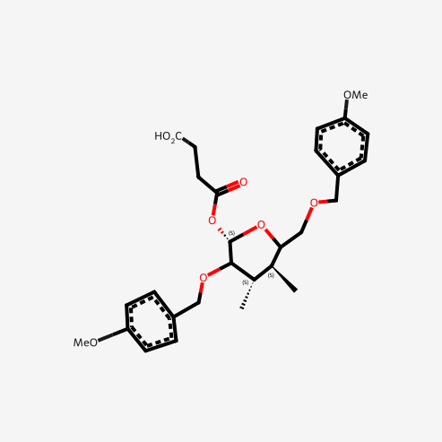 COc1ccc(COCC2O[C@@H](OC(=O)CCC(=O)O)C(OCc3ccc(OC)cc3)[C@@H](C)[C@@H]2C)cc1